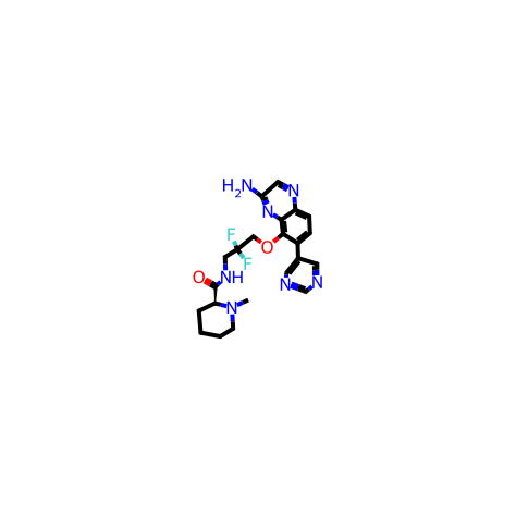 CN1CCCC[C@H]1C(=O)NCC(F)(F)COc1c(-c2cncnc2)ccc2ncc(N)nc12